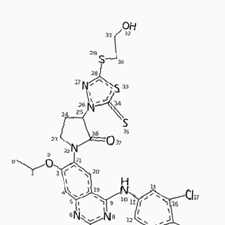 CCOc1cc2ncnc(Nc3ccc(F)c(Cl)c3)c2cc1N1CCC(n2nc(SCCO)sc2=S)C1=O